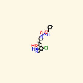 CC(C)(C1CCN(C(=O)NOCc2ccccc2)CC1)C(O)c1cc(Cl)cc2cn[nH]c12